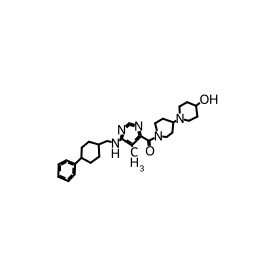 Cc1c(NCC2CCC(c3ccccc3)CC2)ncnc1C(=O)N1CCC(N2CCC(O)CC2)CC1